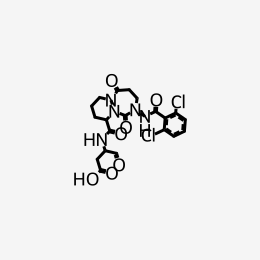 O=CC(CC(=O)O)NC(=O)C1CCCN2C(=O)CCN(NC(=O)c3c(Cl)cccc3Cl)C(=O)N12